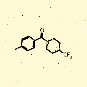 Cc1ccc(C(=O)N2CCC(C(F)(F)F)CC2)cc1